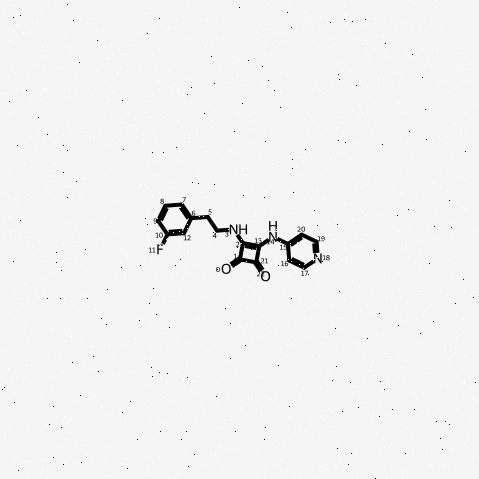 O=c1c(NCCc2cccc(F)c2)c(Nc2ccncc2)c1=O